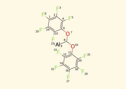 Fc1c(F)c(F)c(O[CH]([Al])Oc2c(F)c(F)c(F)c(F)c2F)c(F)c1F